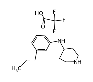 CCCc1cccc(NC2CCNCC2)c1.O=C(O)C(F)(F)F